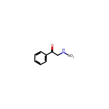 O=C(CN[N+](=O)[O-])c1ccccc1